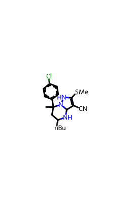 CCCCC1CC(C)(c2ccc(Cl)cc2)N2NC(SC)=C(C#N)C2N1